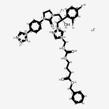 C[C@@H](N1CCN(c2ccc(-n3cnnn3)cc2)C1=O)[C@](O)(C[n+]1cn(COC(=O)OCCCC(=O)OCc2ccccc2)cn1)c1ccc(F)cc1F.[I-]